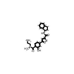 CN(CCN)C(=O)c1ccc(-c2cc(C(=O)N[C@@H]3CCc4ccccc43)no2)cc1O